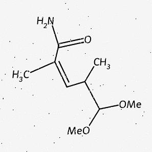 COC(OC)C(C)C=C(C)C(N)=O